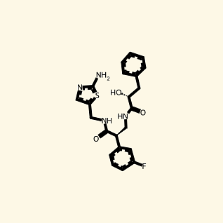 Nc1ncc(CNC(=O)[C@@H](CNC(=O)[C@H](O)Cc2ccccc2)c2cccc(F)c2)s1